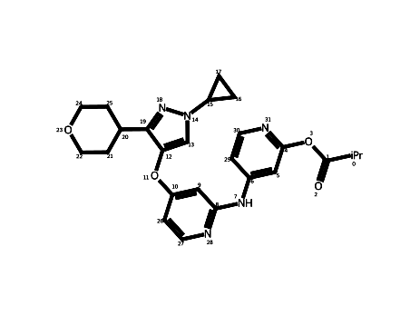 CC(C)C(=O)Oc1cc(Nc2cc(Oc3cn(C4CC4)nc3C3CCOCC3)ccn2)ccn1